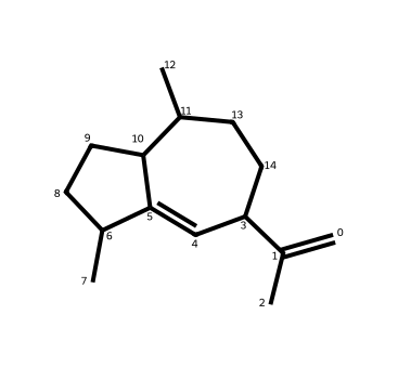 C=C(C)C1C=C2C(C)CCC2C(C)CC1